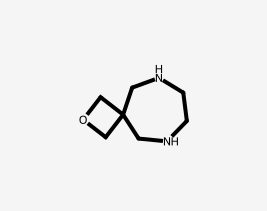 C1CNCC2(CN1)COC2